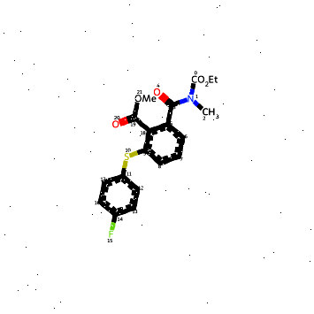 CCOC(=O)N(C)C(=O)c1cccc(Sc2ccc(F)cc2)c1C(=O)OC